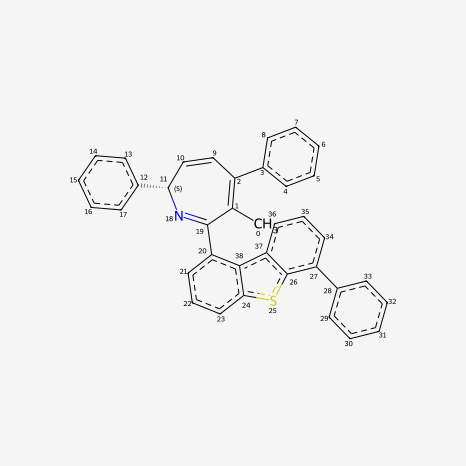 CC1=C(c2ccccc2)C=C[C@@H](c2ccccc2)N=C1c1cccc2sc3c(-c4ccccc4)cccc3c12